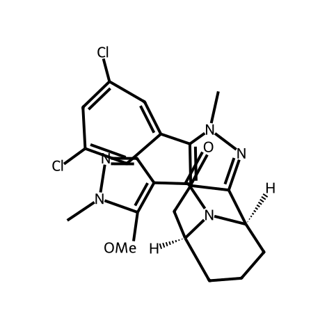 COc1c(C(=O)N2[C@H]3CCC[C@@H]2c2nn(C)c(-c4cc(Cl)cc(Cl)c4)c2C3)cnn1C